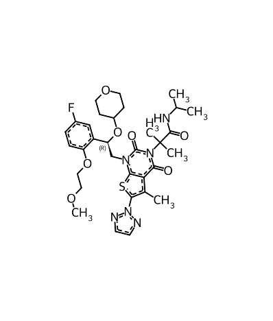 COCCOc1ccc(F)cc1[C@H](Cn1c(=O)n(C(C)(C)C(=O)NC(C)C)c(=O)c2c(C)c(-n3nccn3)sc21)OC1CCOCC1